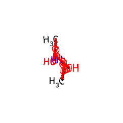 CCCCCCCCOC(=O)CCCC(CCCC(=O)O)OC(=O)OCCNCCOC(=O)OC(CCCC(=O)O)CCCC(=O)OCCCCCCCC